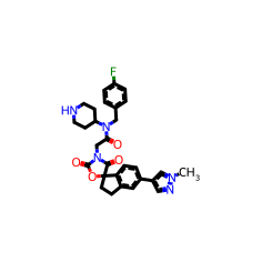 Cn1cc(-c2ccc3c(c2)CCC32OC(=O)N(CC(=O)N(Cc3ccc(F)cc3)C3CCNCC3)C2=O)cn1